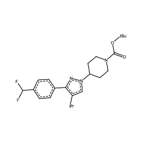 CC(C)c1cn(C2CCN(C(=O)OC(C)(C)C)CC2)nc1-c1ccc(C(F)F)cc1